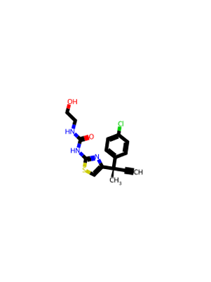 C#C[C@@](C)(c1ccc(Cl)cc1)c1csc(NC(=O)NCCO)n1